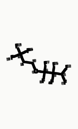 FC(F)C(F)(F)C(F)(F)OCCC(F)(F)F